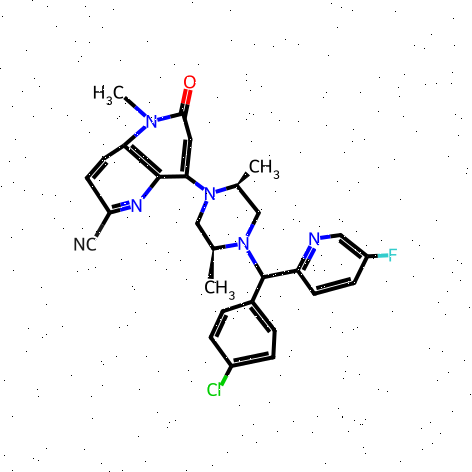 C[C@H]1CN(C(c2ccc(Cl)cc2)c2ccc(F)cn2)[C@@H](C)CN1c1cc(=O)n(C)c2ccc(C#N)nc12